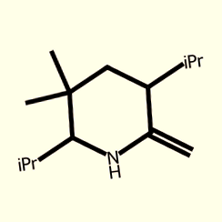 C=C1NC(C(C)C)C(C)(C)CC1C(C)C